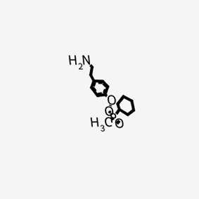 CP(=O)(OOc1ccc(CCN)cc1)C1CCCCC1